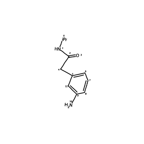 CC(C)NC(=O)Cc1cccc(N)c1